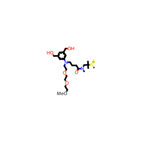 COCCOCCOCCN(CCCC(=O)N(C)CC(C)(C)S(C)=S)c1cc(CO)cc(CO)c1